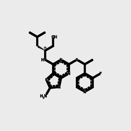 CC(C)C[C@H](CO)Nc1nc(SC(C)c2ccncc2F)nc2nc(N)sc12